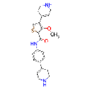 COc1c(C2=CCNCC2)csc1C(=O)Nc1ccc(C2=CCNCC2)cc1